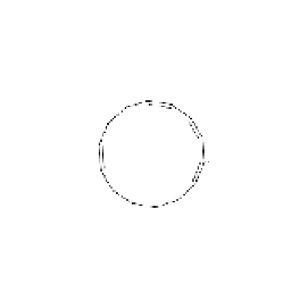 [C]1=CCCCCC=CCCC=CC=C1